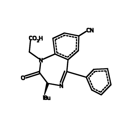 CC[C@H](C)C1N=C(c2ccccc2)c2cc(C#N)ccc2N(CC(=O)O)C1=O